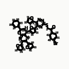 O=C(CSc1nnc(-c2ccco2)c(-c2ccc([SH](CC(=O)c3ccccc3)c3nnc(-c4ccco4)c(-c4ccco4)n3)o2)n1)c1ccc(Br)cc1